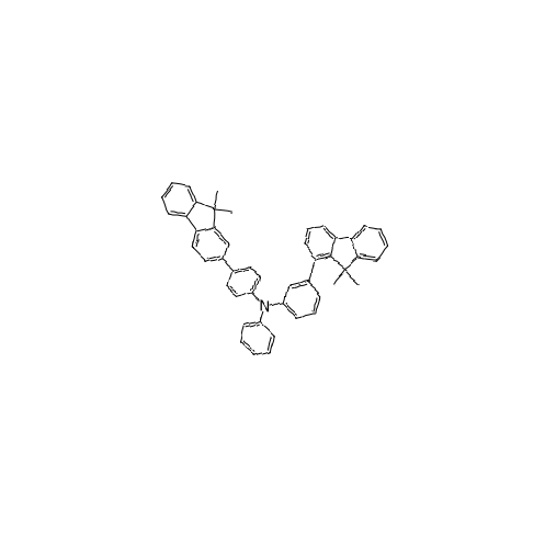 CC1(C)c2ccccc2-c2ccc(-c3ccc(N(c4ccccc4)c4cccc(-c5cccc6c5C(C)(C)c5ccccc5-6)c4)cc3)cc21